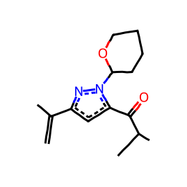 C=C(C)c1cc(C(=O)C(C)C)n(C2CCCCO2)n1